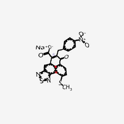 CSc1ccc(C(=O)/C(Cc2ccc([N+](=O)[O-])cc2)=C(/C(=O)[O-])c2ccc3nsnc3c2)cc1.[Na+]